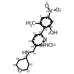 Cc1cc([N+](=O)[O-])cc(O)c1-c1ccc(CNC2CCOCC2)nn1.Cl